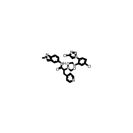 Cn1cc2cc(NC(=O)C(Cc3ccncc3)N3CON(c4cc(Cl)ccc4-n4cc(Cl)nn4)CO3)ccc2n1